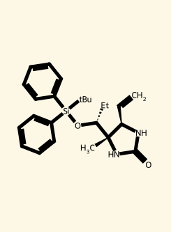 C=C[C@H]1NC(=O)N[C@]1(C)[C@@H](CC)O[Si](c1ccccc1)(c1ccccc1)C(C)(C)C